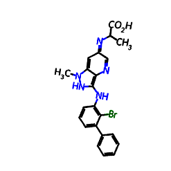 CC(N=c1cnc2c(Nc3cccc(-c4ccccc4)c3Br)[nH]n(C)c-2c1)C(=O)O